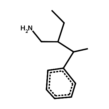 CCC(CN)C(C)c1ccccc1